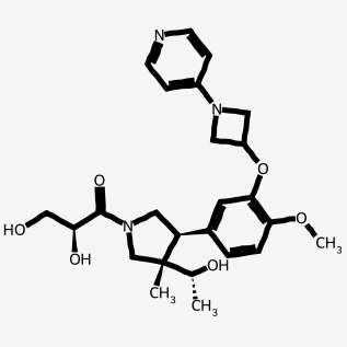 COc1ccc([C@@H]2CN(C(=O)[C@@H](O)CO)C[C@@]2(C)[C@@H](C)O)cc1OC1CN(c2ccncc2)C1